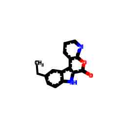 CCc1ccc2[nH]c3c(=O)oc4ncccc4c3c2c1